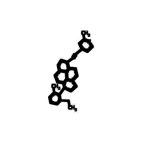 CCc1cccc(C)c1-c1ccc2ccc3c(C#Cc4ccnc(C)c4)ccc4ccc1c2c43